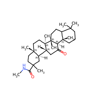 CNC(=O)C1(C)CC[C@]2(C)CC[C@]3(C)[C@H](CC(=O)[C@@H]4[C@@]5(C)CCCC(C)(C)C5CC[C@]43C)[C@H]2C1